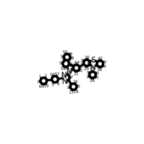 c1ccc(-c2ccc(-c3nc(-c4ccccc4)cc(-n4c5ccc(-c6ccc7c(c6)N(c6ccccc6)c6ccccc6S7)cc5c5c6ccccc6ccc54)n3)cc2)cc1